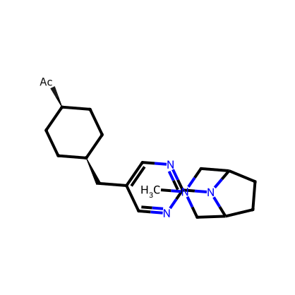 CC(=O)[C@H]1CC[C@@H](Cc2cnc(N3C4CCC3CN(C)C4)nc2)CC1